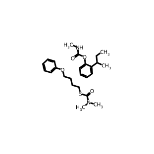 CCC(C)c1ccccc1OC(=O)NC.CN(C)C(=O)SCCCCOc1ccccc1